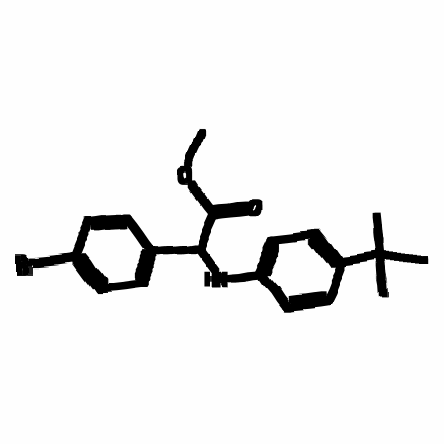 COC(=O)C(Nc1ccc(C(C)(C)C)cc1)c1ccc(Br)cc1